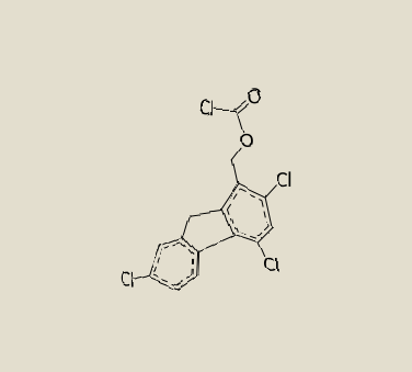 O=C(Cl)OCc1c(Cl)cc(Cl)c2c1Cc1cc(Cl)ccc1-2